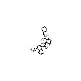 Cc1ccc(C(=O)Nc2nccnc2C(=O)NCC2CCCCC2)c2ccccc12